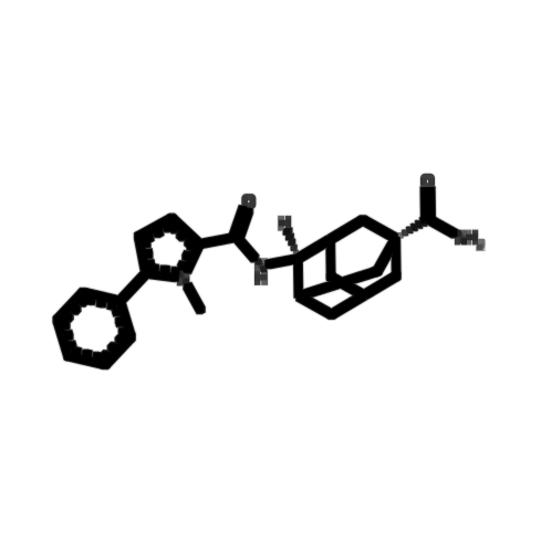 Cn1c(C(=O)N[C@H]2C3CC4CC2C[C@](C(N)=O)(C4)C3)ccc1-c1ccccc1